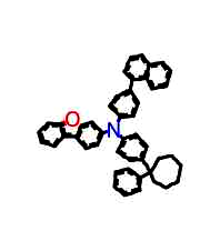 c1ccc(C2(c3ccc(N(c4ccc(-c5cccc6ccccc56)cc4)c4ccc5c(c4)oc4ccccc45)cc3)CCCCCC2)cc1